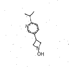 CC(C)c1ccc(C2CN(O)C2)cn1